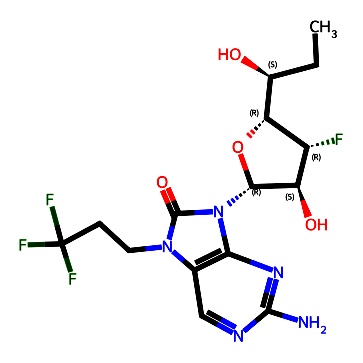 CC[C@H](O)[C@H]1O[C@@H](n2c(=O)n(CCC(F)(F)F)c3cnc(N)nc32)[C@H](O)[C@H]1F